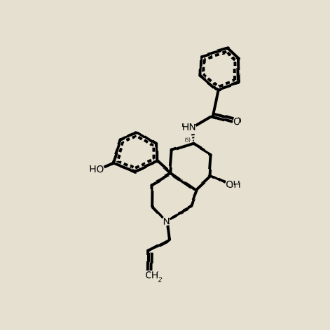 C=CCN1CCC2(c3cccc(O)c3)C[C@H](NC(=O)c3ccccc3)CC(O)C2C1